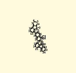 CC1(C)c2ccccc2-c2cccc(-c3ccc4c(Cl)cc(-c5cccc6c5C(C)(C)c5ccccc5-6)cc4c3)c21